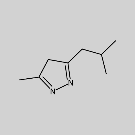 CC1=NN=C(CC(C)C)C1